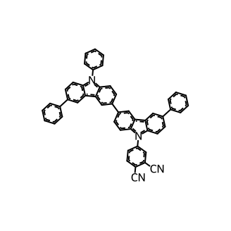 N#Cc1ccc(-n2c3ccc(-c4ccccc4)cc3c3cc(-c4ccc5c(c4)c4cc(-c6ccccc6)ccc4n5-c4ccccc4)ccc32)cc1C#N